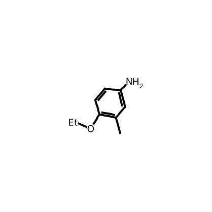 CCOc1ccc(N)cc1C